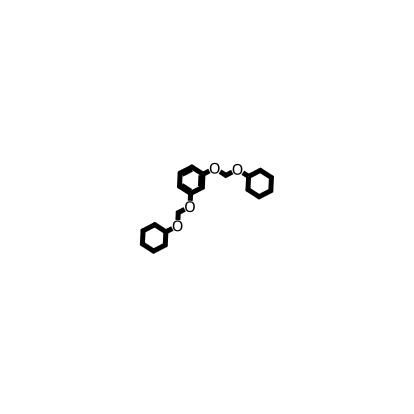 c1cc(OCOC2CCCCC2)cc(OCOC2CCCCC2)c1